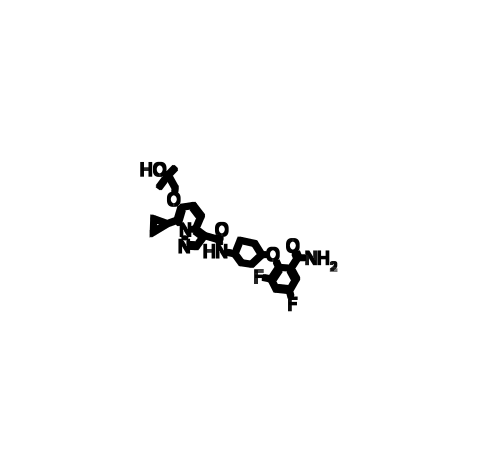 CC(C)(O)COc1ccc2c(C(=O)NC3CCC(Oc4c(F)cc(F)cc4C(N)=O)CC3)cnn2c1C1CC1